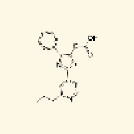 CCCc1cc(-c2nc(-c3ccccc3)c(OC(=O)O)s2)ccn1